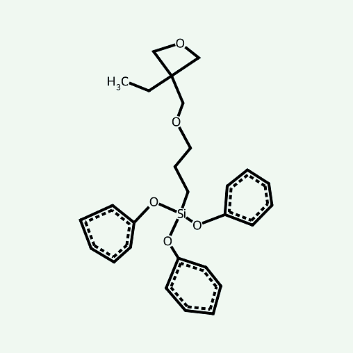 CCC1(COCCC[Si](Oc2ccccc2)(Oc2ccccc2)Oc2ccccc2)COC1